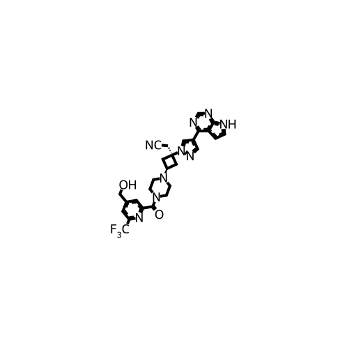 N#CC[C@]1(n2cc(-c3ncnc4[nH]ccc34)cn2)C[C@@H](N2CCN(C(=O)c3cc(CO)cc(C(F)(F)F)n3)CC2)C1